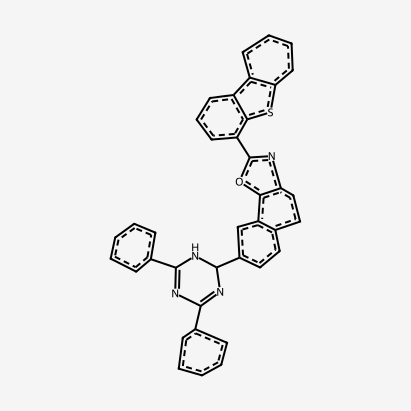 c1ccc(C2=NC(c3ccc4ccc5nc(-c6cccc7c6sc6ccccc67)oc5c4c3)NC(c3ccccc3)=N2)cc1